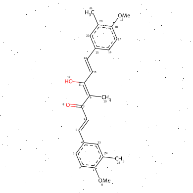 COc1ccc(/C=C/C(=O)/C(C)=C(O)/C=C/c2ccc(OC)c(C)c2)cc1C